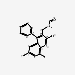 Cc1cc(Cl)cc2c(-c3ccccc3)c(COC=O)c(Cl)nc12